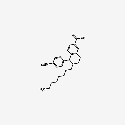 CCCCCCCCC1CCc2cc(C(=O)O)ccc2C1c1ccc(C#N)cc1